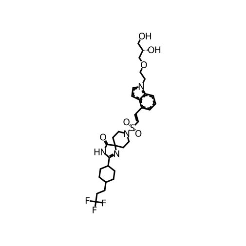 O=C1NC(C2CCC(CCC(F)(F)F)CC2)=NC12CCN(S(=O)(=O)/C=C/c1cccc3c1ccn3CCOC[C@@H](O)CO)CC2